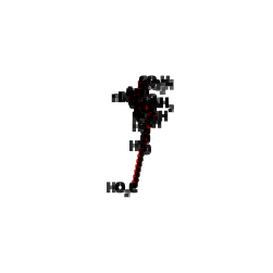 CCCC[C@H](NC(=O)[C@H](CNC(=O)CN(CC(=O)O)CC(=O)O)NC(=O)[C@H](Cc1c[nH]cn1)NC(=O)[C@H](CCC(N)=O)NC(=O)[C@H](CO)NC(=O)CNC(=O)COCCOCCNC(=O)CCCCCCCCCCCCCCC(=O)O)C(C)=O